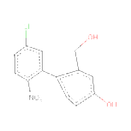 O=[N+]([O-])c1ccc(Cl)cc1-c1ccc(O)cc1CO